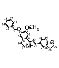 COc1cc2c(cc1OCc1ccccc1)CCNC2C=Cc1ccc2c(c1)CCO2